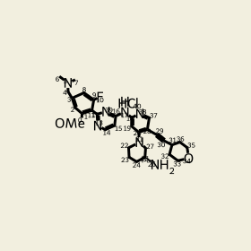 COc1cc(CN(C)C)cc(F)c1-c1nccc(Nc2cc(N3CCC[C@H](N)C3)c(C#CC3CCOCC3)cn2)n1.Cl